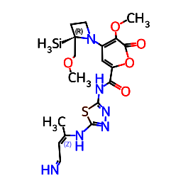 COC[C@]1([SiH3])CCN1c1cc(C(=O)Nc2nnc(N/C(C)=C\C=N)s2)oc(=O)c1OC